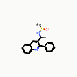 C[C@H](N[S@+]([O-])C(C)(C)C)c1cc2ccccc2nc1-c1ccccc1